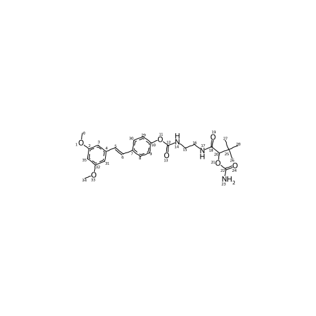 COc1cc(C=Cc2ccc(OC(=O)NCCNC(=O)C(OC(N)=O)C(C)(C)C)cc2)cc(OC)c1